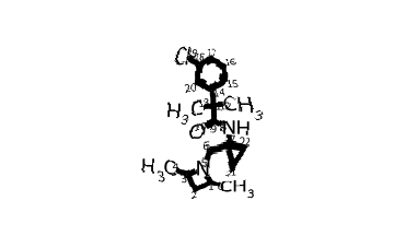 CC1CC(C)N1CC1(NC(=O)C(C)(C)c2cccc(Cl)c2)CC1